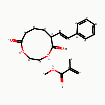 C=C(C)C(=O)OC.O=C1CCCC(C=Cc2ccccc2)C(=O)OCCO1